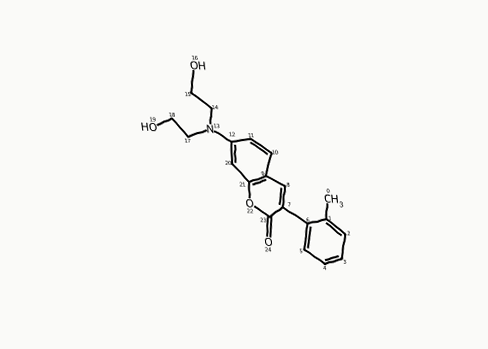 Cc1ccccc1-c1cc2ccc(N(CCO)CCO)cc2oc1=O